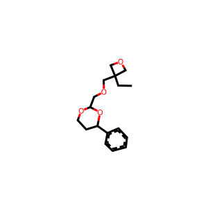 CCC1(COCC2OCCC(c3ccccc3)O2)COC1